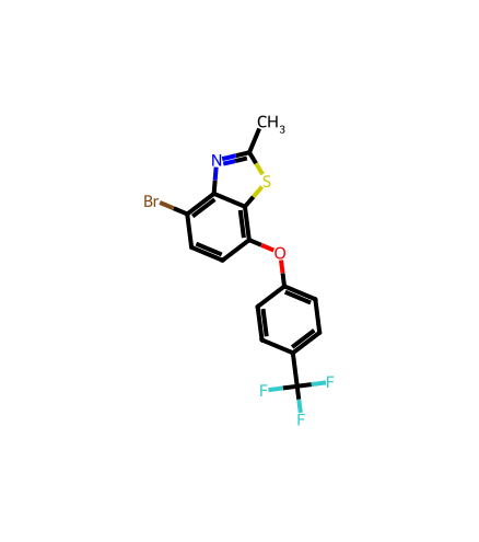 Cc1nc2c(Br)ccc(Oc3ccc(C(F)(F)F)cc3)c2s1